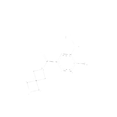 O=C(c1ccc(Br)c(OC(F)(F)F)c1)N1CC2(COC2)C1